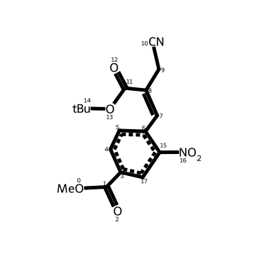 COC(=O)c1ccc(C=C(CC#N)C(=O)OC(C)(C)C)c([N+](=O)[O-])c1